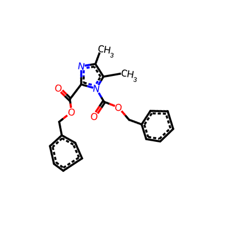 Cc1nc(C(=O)OCc2ccccc2)n(C(=O)OCc2ccccc2)c1C